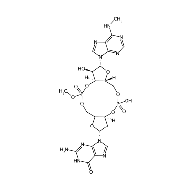 CNc1ncnc2c1ncn2[C@@H]1O[C@@H]2COP(=O)(O)O[C@H]3C[C@H](n4cnc5c(=O)[nH]c(N)nc54)OC3COP(=O)(OC)O[C@H]2[C@H]1O